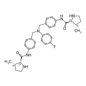 C[C@H]1CCN[C@@H]1C(=O)Nc1ccc(CN(Cc2ccc(NC(=O)[C@H]3NCC[C@@H]3C)cc2)c2ccc(F)cc2)cc1